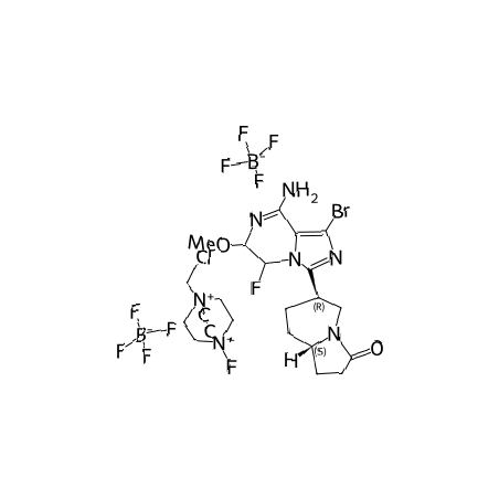 COC1N=C(N)c2c(Br)nc([C@@H]3CC[C@H]4CCC(=O)N4C3)n2C1F.F[B-](F)(F)F.F[B-](F)(F)F.F[N+]12CC[N+](CCl)(CC1)CC2